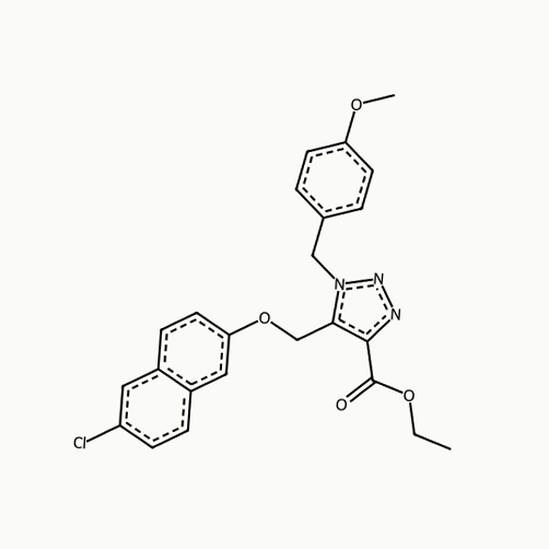 CCOC(=O)c1nnn(Cc2ccc(OC)cc2)c1COc1ccc2cc(Cl)ccc2c1